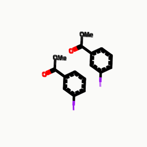 COC(=O)c1cccc(I)c1.COC(=O)c1cccc(I)c1